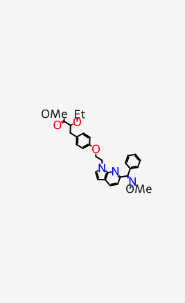 CCOC(Cc1ccc(OCCn2ccc3ccc(/C(=N\OC)c4ccccc4)nc32)cc1)C(=O)OC